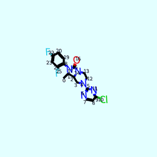 CC1C2CN(c3nccc(Cl)n3)CCN2C(=O)N1c1ccc(F)cc1F